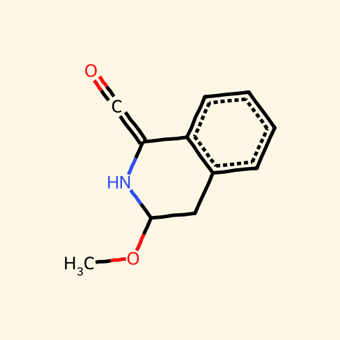 COC1Cc2ccccc2C(=C=O)N1